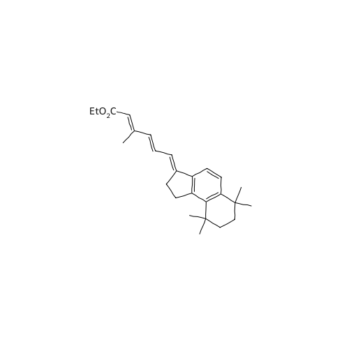 CCOC(=O)/C=C(C)/C=C/C=C1\CCc2c1ccc1c2C(C)(C)CCC1(C)C